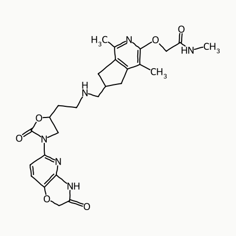 CNC(=O)COc1nc(C)c2c(c1C)CC(CNCCC1CN(c3ccc4c(n3)NC(=O)CO4)C(=O)O1)C2